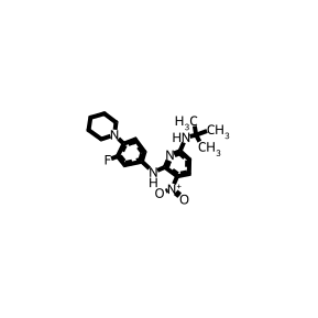 CC(C)(C)Nc1ccc([N+](=O)[O-])c(Nc2ccc(N3CCCCC3)c(F)c2)n1